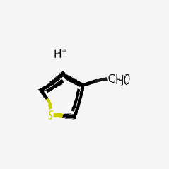 O=Cc1ccsc1.[H+]